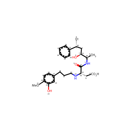 CC[C@H](C[C@H](O)[C@@H](C)NC(=O)[C@H](CC(=O)O)NCCCc1ccc(OC)c(O)c1)c1ccccc1